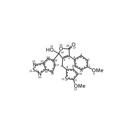 COc1ccc(C2=C(Cc3ccc(OC)s3)C(O)(c3ccc4nsnc4c3)OC2=O)cc1